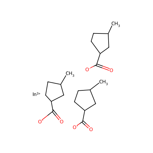 CC1CCC(C(=O)[O-])C1.CC1CCC(C(=O)[O-])C1.CC1CCC(C(=O)[O-])C1.[In+3]